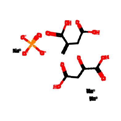 C=C(CC(=O)O)C(=O)O.O=C(O)CC(=O)C(=O)O.O=P([O-])([O-])[O-].[Na+].[Na+].[Na+]